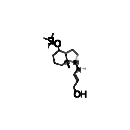 C[C@H](C=CCO)[C@H]1CCC2C(O[Si](C)(C)C)CCC[C@]21C